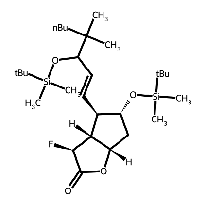 CCCCC(C)(C)C(/C=C/[C@@H]1[C@@H]2[C@H](C[C@H]1O[Si](C)(C)C(C)(C)C)OC(=O)[C@H]2F)O[Si](C)(C)C(C)(C)C